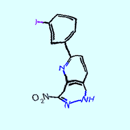 O=[N+]([O-])c1n[nH]c2ccc(-c3cccc(I)c3)nc12